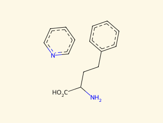 NC(CCc1ccccc1)C(=O)O.c1ccncc1